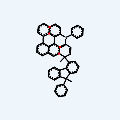 CC1(c2cccc3c2-c2ccccc2C3(C)c2ccccc2)C=CC(N(c2ccccc2)c2ccccc2-c2cccc3cccc(-c4ccccc4)c23)=CC1